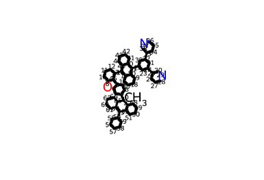 CC1(c2ccc3c(c2)oc2cccc(-c4c5ccccc5c(-c5cc(-c6cccnc6)cc(-c6cccnc6)c5)c5ccccc45)c23)c2ccccc2C(c2ccccc2)=C2C=CC=CC21